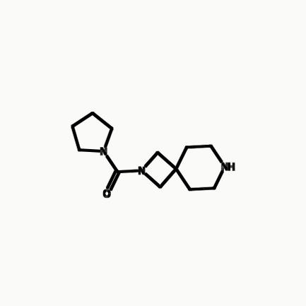 O=C(N1CCCC1)N1CC2(CCNCC2)C1